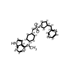 CN(c1ncnc2[nH]ccc12)[C@H]1CC[C@H](CS(=O)(=O)N2CCC(Cc3cnccn3)C2)CC1